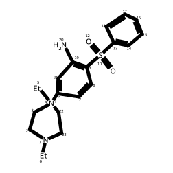 CCN1CC[N+](CC)(c2ccc(S(=O)(=O)c3ccccc3)c(N)c2)CC1